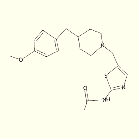 COc1ccc(CC2CCN(Cc3cnc(NC(C)=O)s3)CC2)cc1